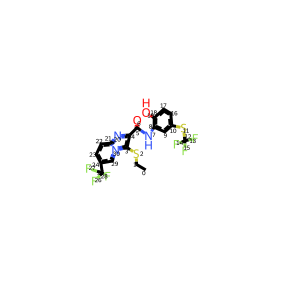 CCSc1c(C(=O)Nc2cc(SC(F)(F)F)ccc2O)nc2ccc(C(F)(F)F)cn12